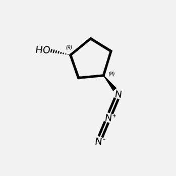 [N-]=[N+]=N[C@@H]1CC[C@@H](O)C1